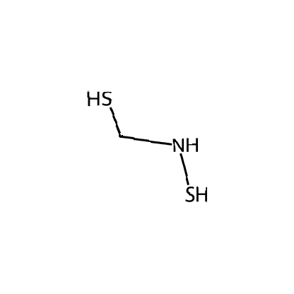 SCNS